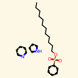 CCCCCCCCCCCCOS(=O)(=O)c1ccccc1.c1cc[nH]c1.c1ccncc1